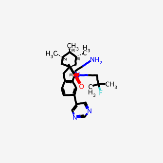 C[C@H]1[C@H](C)C[C@@]2(Cc3ccc(-c4cncnc4)cc3[C@]23N=C(N)N(CC(C)(C)F)C3=O)C[C@@H]1C